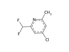 Cc1cc(Cl)cc(C(F)F)n1